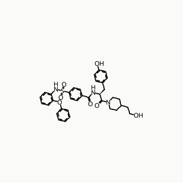 O=C(N[C@@H](Cc1ccc(O)cc1)C(=O)N1CCC(CCO)CC1)c1ccc(S(=O)(=O)Nc2ccccc2Oc2ccccc2)cc1